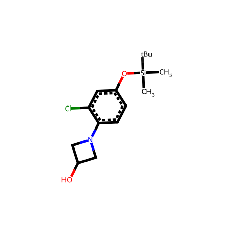 CC(C)(C)[Si](C)(C)Oc1ccc(N2CC(O)C2)c(Cl)c1